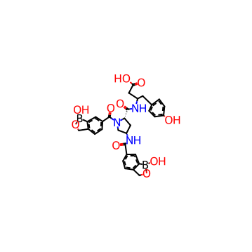 O=C(O)CC(Cc1ccc(O)cc1)NC(=O)[C@@H]1C[C@@H](NC(=O)c2ccc3c(c2)B(O)OC3)CN1C(=O)c1ccc2c(c1)B(O)OC2